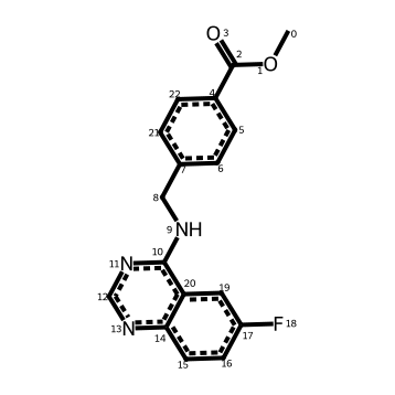 COC(=O)c1ccc(CNc2ncnc3ccc(F)cc23)cc1